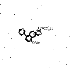 CCOC(=O)NC1=N[C@]2(CCc3c(-c4cncnc4)ccc(OC)c3C2)CO1